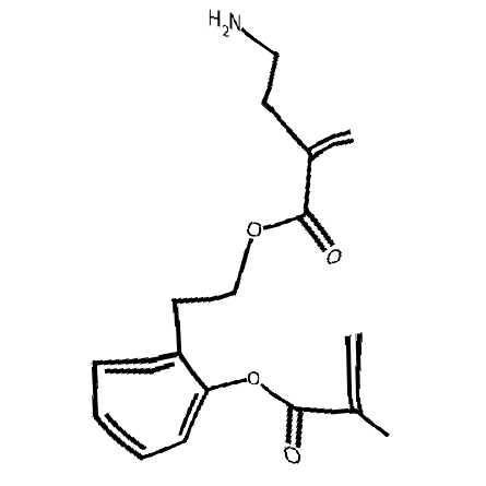 C=C(C)C(=O)Oc1ccccc1CCOC(=O)C(=C)CCN